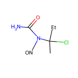 CCC(C)(Cl)N(N=O)C(N)=O